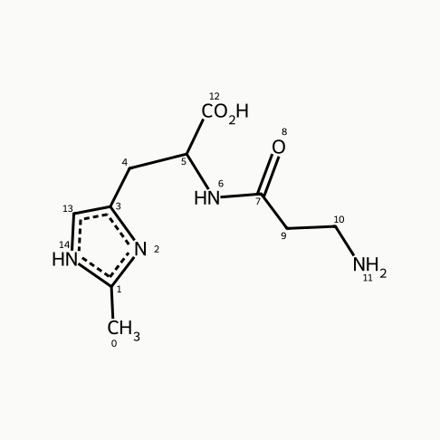 Cc1nc(CC(NC(=O)CCN)C(=O)O)c[nH]1